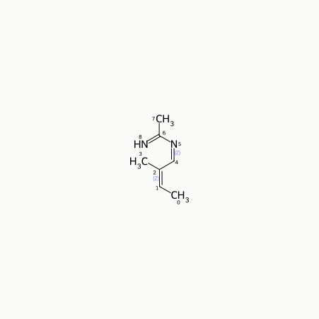 C/C=C(C)\C=N/C(C)=N